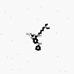 CCN(CC)CCCCCNc1nc(N)nc2ccc(Nc3ccccc3)cc12